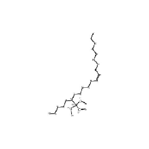 CCCCCCCC/C=C\CCCCCC(CCCCC)[Si](OC)(OC)OC